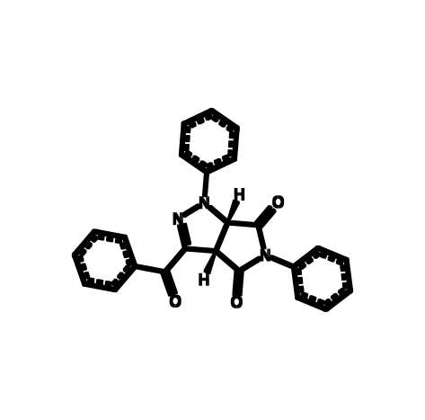 O=C(C1=NN(c2ccccc2)[C@@H]2C(=O)N(c3ccccc3)C(=O)[C@H]12)c1ccccc1